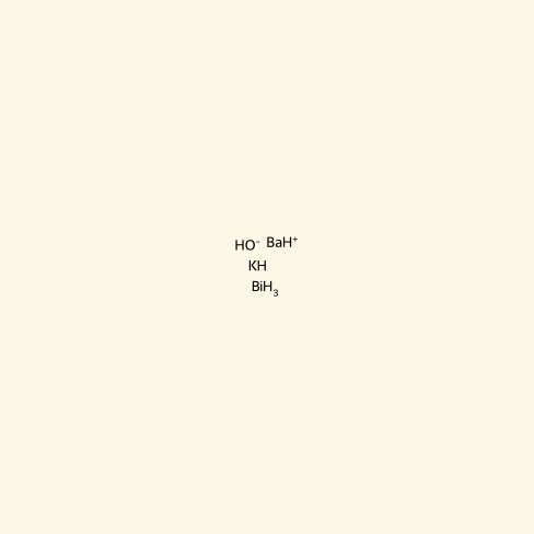 [BaH+].[BiH3].[KH].[OH-]